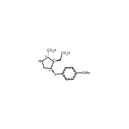 COc1ccc(S[C@H]2CN[C@H](C(=O)O)[C@H]2CC(=O)O)cc1